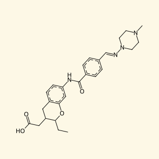 CCC1Oc2cc(NC(=O)c3ccc(C=NN4CCN(C)CC4)cc3)ccc2CC1CC(=O)O